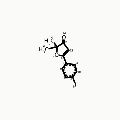 CC1(C)OC(c2ccc(I)cc2)=CC1=O